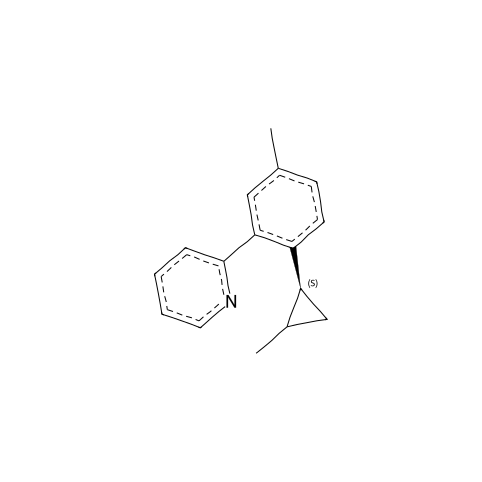 Cc1ccc([C@H]2CC2C)c(-c2ccccn2)c1